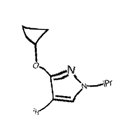 [2H]c1cn(C(C)C)nc1OC1CC1